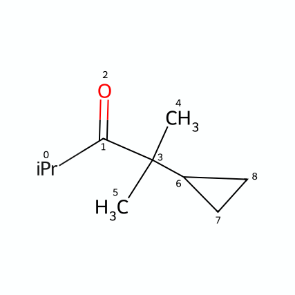 CC(C)C(=O)C(C)(C)C1CC1